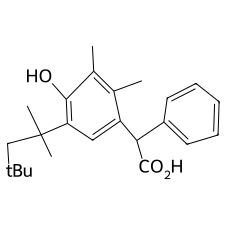 Cc1c(C(C(=O)O)c2ccccc2)cc(C(C)(C)CC(C)(C)C)c(O)c1C